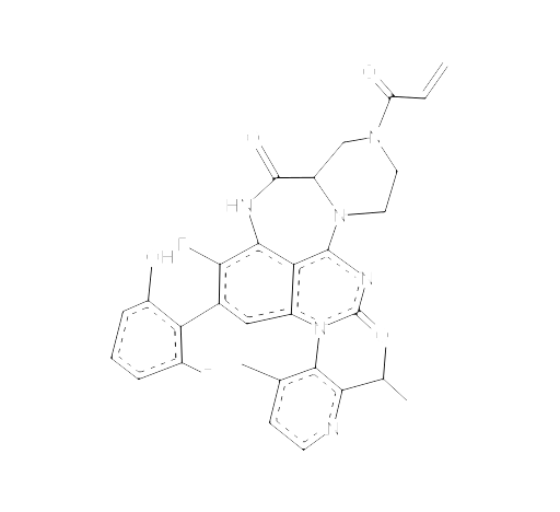 C=CC(=O)N1CCN2c3nc(=O)n(-c4c(C)ccnc4C(C)C)c4cc(-c5c(O)cccc5F)c(F)c(c34)NC(=O)C2C1